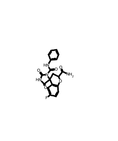 NC(=O)C1CC2(C(=O)NC(=O)N2C(=O)Nc2ccccc2)c2cc(F)ccc2O1